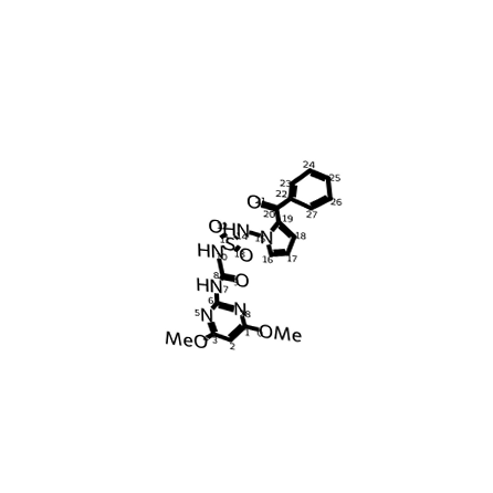 COc1cc(OC)nc(NC(=O)NS(=O)(=O)Nn2cccc2C(=O)c2ccccc2)n1